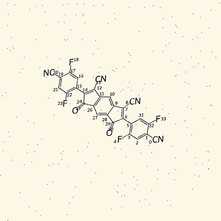 N#Cc1cc(F)c(-c2c(C#N)c3cc4c(C#N)c(-c5cc(F)c(C#N)cc5F)c(=O)c4cc3c2=O)cc1F